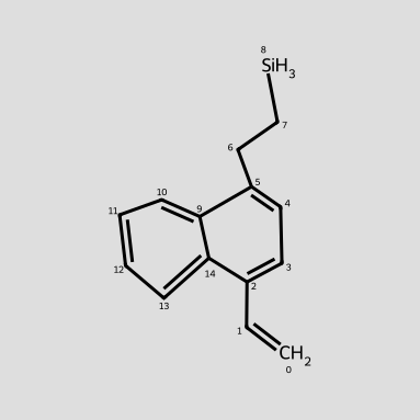 C=Cc1ccc(CC[SiH3])c2ccccc12